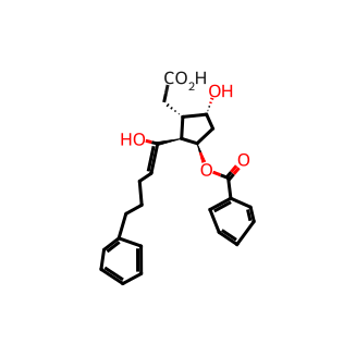 O=C(O)C[C@H]1[C@H](C(O)=CCCCc2ccccc2)[C@H](OC(=O)c2ccccc2)C[C@H]1O